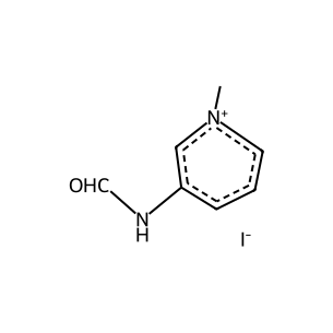 C[n+]1cccc(NC=O)c1.[I-]